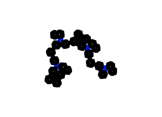 c1cc(-c2ccc(N(c3ccc4c(c3)C3(c5ccccc5-c5ccccc53)c3ccc(-c5ccc6c7cc(-c8cccc(-c9ccc(N(c%10ccc%11c(c%10)C%10(c%12ccccc%12-c%12ccccc%12%10)c%10ccccc%10-%11)c%10ccc%11ccccc%11c%10)cc9)c8)ccc7n(-c7cccc8ccccc78)c6c5)cc3-4)c3cccc4ccccc34)cc2)cc(-c2ccc3c(c2)c2ccccc2n3-c2cccc3ccccc23)c1